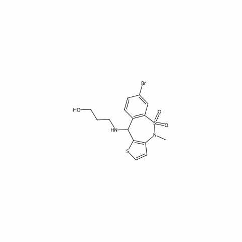 CN1c2ccsc2C(NCCCO)c2ccc(Br)cc2S1(=O)=O